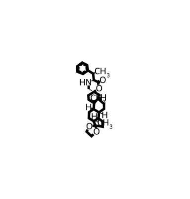 C[C@H](c1ccccc1)[C@H]1NC[C@]2(CC[C@@]3(C)[C@@H](CC[C@@H]4[C@@H]3CC[C@@]3(C)[C@H]4CCC34OCCO4)C2)OC1=O